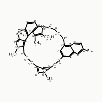 Cc1nn(C)c2c1-c1c(Cl)ccc3c1c(C)c(C(=O)O)n3CCCOc1cc(cc3cc(F)ccc13)SCc1cc(nn1C)CSC2